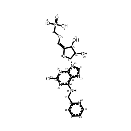 O=P(O)(O)COC=C1O[C@@H](n2cnc3c(NCc4ccccn4)nc(Cl)nc32)[C@H](O)[C@@H]1O